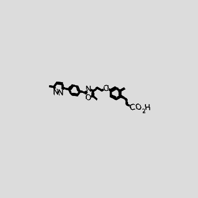 Cc1ccc(-c2ccc(-c3nc(CCOc4ccc(CCC(=O)O)c(C)c4)c(C)o3)cc2)nn1